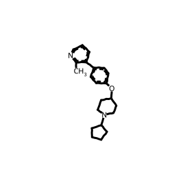 Cc1ncccc1-c1ccc(OC2CCN(C3CCCC3)CC2)cc1